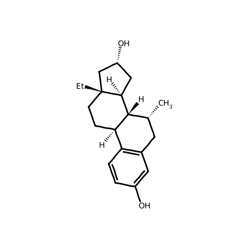 CC[C@]12CC[C@@H]3c4ccc(O)cc4C[C@@H](C)[C@H]3[C@@H]1C[C@@H](O)C2